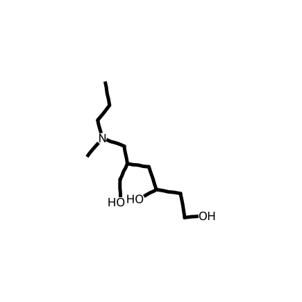 CCCN(C)CC(CO)CC(O)CCO